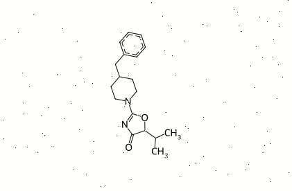 CC(C)C1OC(N2CCC(Cc3ccccc3)CC2)=NC1=O